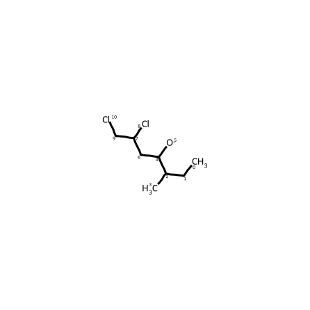 CCC(C)C([O])CC(Cl)CCl